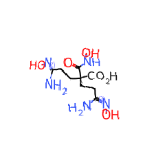 N/C(CCC(CC/C(N)=N/O)(C(=O)O)C(=O)NO)=N\O